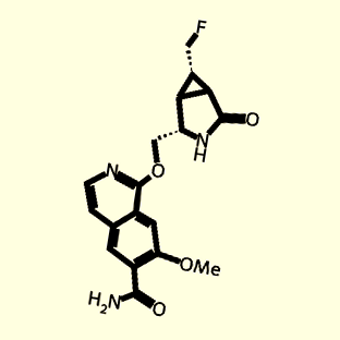 COc1cc2c(OC[C@H]3NC(=O)C4C3[C@@H]4CF)nccc2cc1C(N)=O